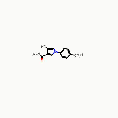 CNC(=O)c1cn(-c2ccc(C(=O)O)cc2)cc1C#N